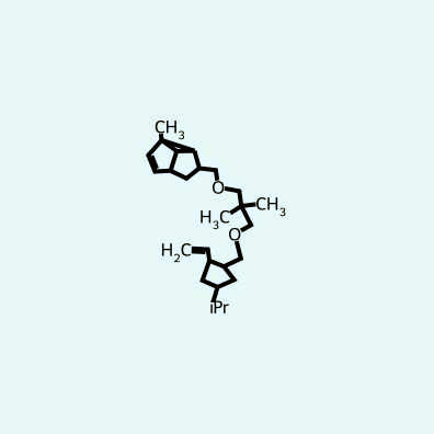 C=CC1CC(C(C)C)CC1COCC(C)(C)COCC1CC2C=CC3(C)C2C13